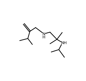 C=C(CNCC(C)(C)NC(C)C)C(C)C